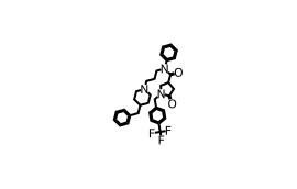 O=C1CC(C(=O)N(CCCN2CCC(Cc3ccccc3)CC2)c2ccccc2)CN1Cc1ccc(C(F)(F)F)cc1